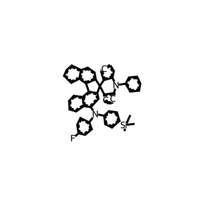 C[Si](C)(C)c1ccc(N(c2ccc(F)cc2)c2cc3c(c4ccccc24)-c2c(ccc4ccccc24)C32c3ccccc3N(c3ccccc3)c3ccccc32)cc1